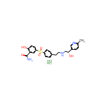 Cc1ccc([C@H](O)CNCCc2ccc(S(=O)(=O)c3ccc(O)c(C(N)=O)c3)cc2)cn1.Cl.Cl